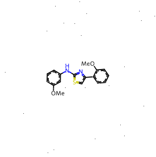 COc1cccc(Nc2nc(-c3ccccc3OC)cs2)c1